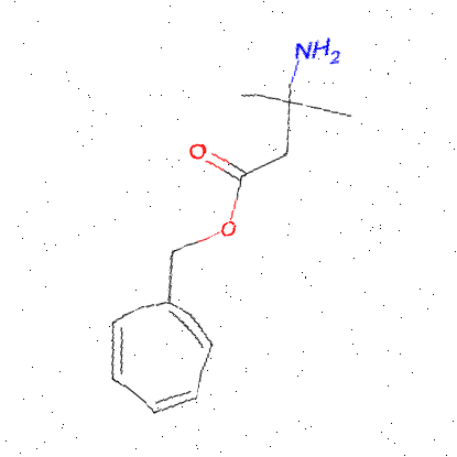 CC(C)(N)CC(=O)OCc1ccccc1